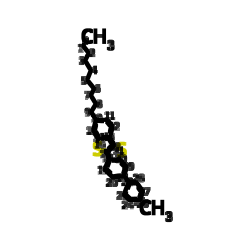 CCCCCCCCCCc1ccc2c(c1)sc1c3ccc(-c4ccc(C)cc4)cc3sc21